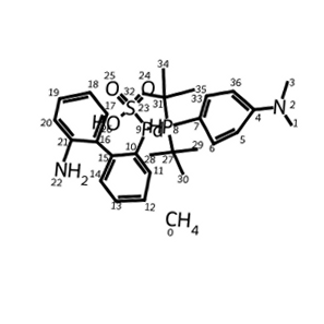 C.CN(C)c1ccc([PH]([Pd]([c]2ccccc2-c2ccccc2N)[S](=O)(=O)O)(C(C)(C)C)C(C)(C)C)cc1